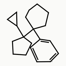 [c]1ccc(C2(C3(C4CC4)CCCC3)CCCCC2)cc1